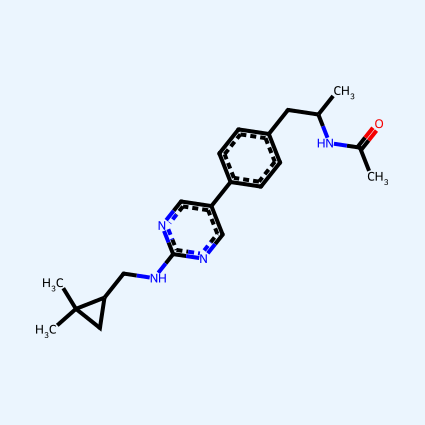 CC(=O)NC(C)Cc1ccc(-c2cnc(NCC3CC3(C)C)nc2)cc1